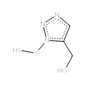 OCc1cnnn1SS